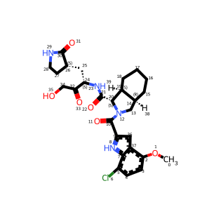 COc1ccc(Cl)c2[nH]c(C(=O)N3C[C@@H]4CCCC[C@@H]4[C@H]3C(=O)N[C@@H](C[C@@H]3CCNC3=O)C(=O)CO)cc12